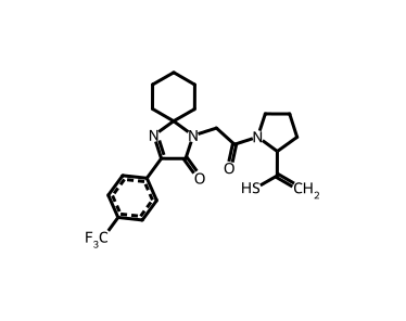 C=C(S)C1CCCN1C(=O)CN1C(=O)C(c2ccc(C(F)(F)F)cc2)=NC12CCCCC2